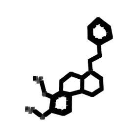 COc1ccc2c(c1OC)CCC1C2CCCN1CCc1ccccc1